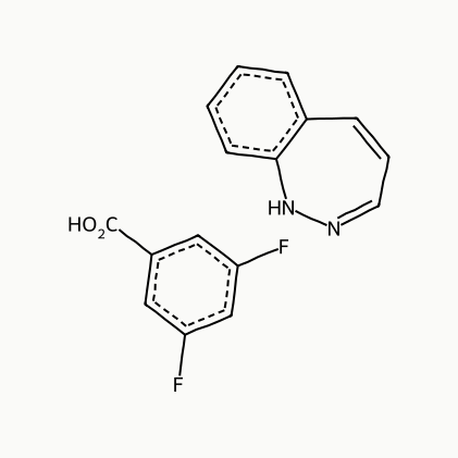 C1=Cc2ccccc2NN=C1.O=C(O)c1cc(F)cc(F)c1